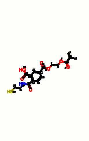 C=C(C)C(=O)OCCOC(=O)c1ccc(C(=O)NCCS)c(C(=O)O)c1